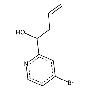 C=CCC(O)c1cc(Br)ccn1